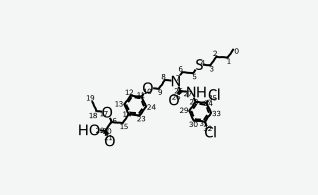 CCCCSCCN(CCOc1ccc(CC(OCC)C(=O)O)cc1)C(=O)Nc1ccc(Cl)cc1Cl